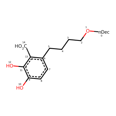 CCCCCCCCCCOCCCCc1ccc(O)c(O)c1C(=O)O